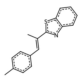 CC(=Cc1ccc(C)cc1)c1nc2ccccc2s1